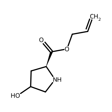 C=CCOC(=O)[C@@H]1CC(O)CN1